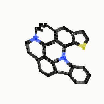 Cc1cc2ccsc2c2c1c1c3c(ccc4c5ccccc5n2c43)cc[n+]1C